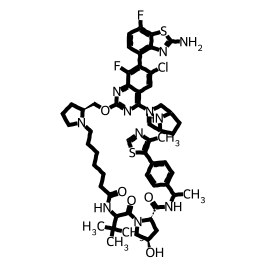 Cc1ncsc1-c1ccc(C(C)NC(=O)[C@@H]2C[C@@H](O)CN2C(=O)C(NC(=O)CCCCCCN2CCC[C@H]2COc2nc(N3CC4CCC(C3)N4)c3cc(Cl)c(-c4ccc(F)c5sc(N)nc45)c(F)c3n2)C(C)(C)C)cc1